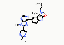 CCn1c(-c2cnc(C)nc2)nc2c(-c3ccc4c(c3)[C@@](C)(N(C)CCOC)C(=O)N4)ncnc21